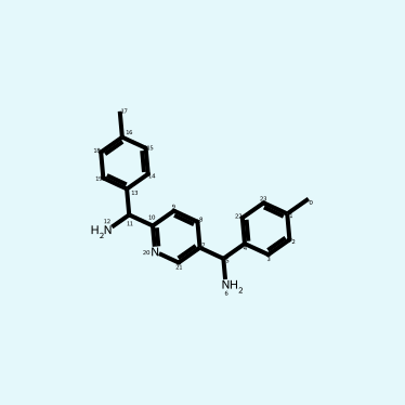 Cc1ccc(C(N)c2ccc(C(N)c3ccc(C)cc3)nc2)cc1